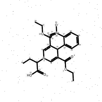 CCOC(=O)C1=CN(C(CC)C(=O)O)C=C(C(=O)OCC)C1c1ccccc1[N+](=O)[O-]